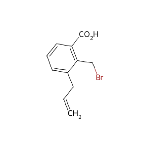 C=CCc1cccc(C(=O)O)c1CBr